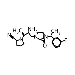 C=C(C(N)CN1CC2CC1C(=O)N2[C@@H](C)c1cccc(F)c1)N1CCCC1C#N